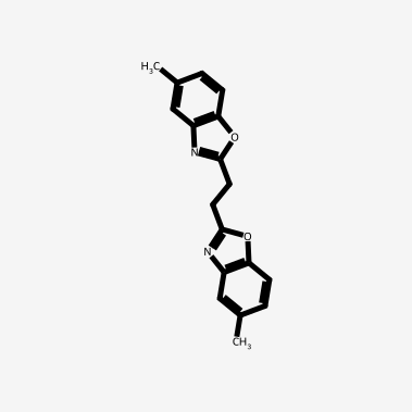 Cc1ccc2oc(CCc3nc4cc(C)ccc4o3)nc2c1